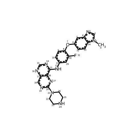 Cn1cnc2cc(Oc3ccc(Nc4ncnc5cnc(N6CCNCC6)nc45)cc3F)ccc21